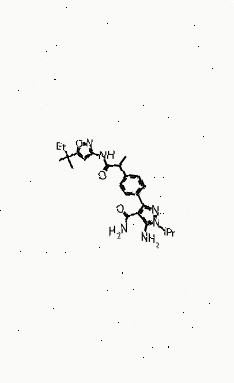 CCC(C)(C)c1cc(NC(=O)C(C)c2ccc(-c3nn(C(C)C)c(N)c3C(N)=O)cc2)no1